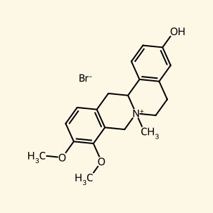 COc1ccc2c(c1OC)C[N+]1(C)CCc3cc(O)ccc3C1C2.[Br-]